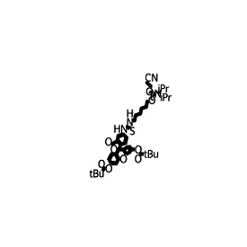 CC(C)N(C(C)C)P(OCCC#N)OCCCCCCNC(=S)Nc1ccc2c(c1)C(=O)OC21c2ccc(OC(=O)C(C)(C)C)cc2OC2C=C(OC(=O)C(C)(C)C)C=CC21